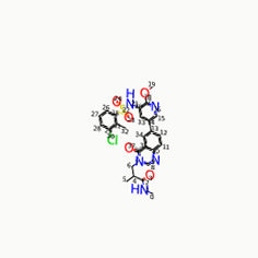 CNC(=O)C(C)Cn1cnc2ccc(-c3cnc(OC)c(NS(=O)(=O)c4cccc(Cl)c4C)c3)cc2c1=O